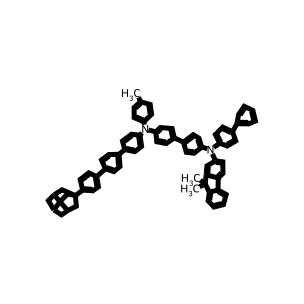 Cc1ccc(N(c2ccc(-c3ccc(-c4ccc(C56CC7CC8CC(C5)C87C6)cc4)cc3)cc2)c2ccc(-c3ccc(N(c4ccc(-c5ccccc5)cc4)c4ccc5c(c4)C(C)(C)c4ccccc4-5)cc3)cc2)cc1